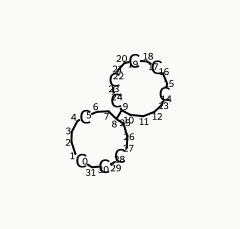 C1CCCCCCCC(C2CCCCCCCCCCCCCCC2)CCCCCCC1